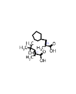 C/C(=C\C(C)(C)C)C(=O)O.C/C(=C\C1CCCCC1)C(=O)O